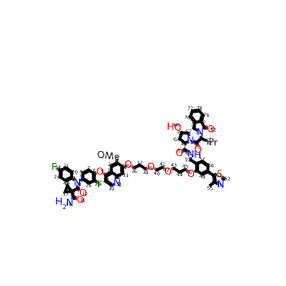 COc1cc2c(Oc3ccc(N(C(=O)C4(C(N)=O)CC4)c4ccc(F)cc4)cc3F)ccnc2cc1OCCCOCCOCCCOc1cc(-c2scnc2C)ccc1CNC(=O)[C@@H]1C[C@@H](O)CN1C(=O)C(C(C)C)N1Cc2ccccc2C1=O